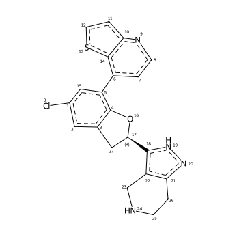 Clc1cc2c(c(-c3ccnc4ccsc34)c1)O[C@@H](c1[nH]nc3c1CNCC3)C2